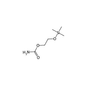 C[Si](C)(C)OCCOC(N)=O